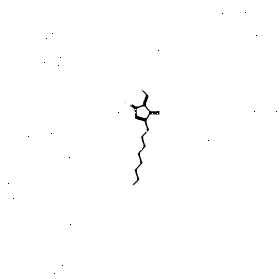 B=C1C=C(CCCCCCCI)C(=C)/C1=C/C